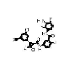 N#Cc1cc(Cl)cc([C@@H]2[C@@H](C(=O)Nc3ccc(Cl)c(C(=O)Nc4ccc(F)c(N)c4F)c3)C2(Cl)Cl)c1